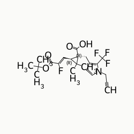 C#CCn1ccc(C[C@@]2(C(=O)O)[C@H](C=C(F)C(=O)OC(C)(C)C)C2(C)C)c1C(F)(F)F